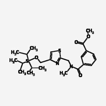 COC(=O)c1cccc(C(=O)N(C)Cc2nc(CO[Si](C(C)C)(C(C)C)C(C)C)cs2)c1